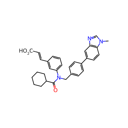 Cn1cnc2cc(-c3ccc(CN(C(=O)C4CCCCC4)c4cccc(C=CC(=O)O)c4)cc3)ccc21